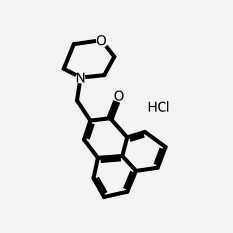 Cl.O=C1C(CN2CCOCC2)=Cc2cccc3cccc1c23